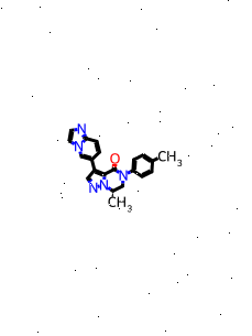 Cc1ccc(N2C[C@H](C)n3ncc(-c4ccc5nccn5c4)c3C2=O)cc1